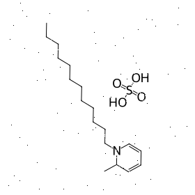 CCCCCCCCCCCCN1C=CC=CC1C.O=S(=O)(O)O